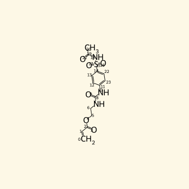 C=CC(=O)OCCNC(=O)Nc1ccc(S(=O)(=O)NC(C)=O)cc1